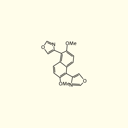 COc1ccc2c(-c3cocn3)c(OC)ccc2c1-c1cocn1